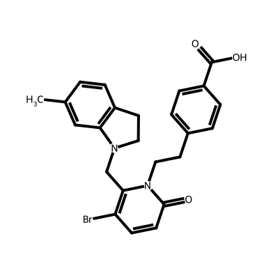 Cc1ccc2c(c1)N(Cc1c(Br)ccc(=O)n1CCc1ccc(C(=O)O)cc1)CC2